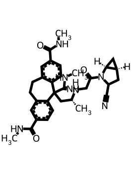 CNC(=N)C1(C[C@@H](C)NCC(=O)N2C(C#N)C[C@@H]3C[C@@H]32)c2ccc(C(=O)NC)cc2CCc2cc(C(=O)NC)ccc21